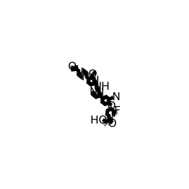 COc1nc(Nc2nccc(-c3ccc(O[C@H]4CCN(C(=O)[C@H](C)O)C[C@H]4F)c(C#N)c3)n2)ccc1N1CCN(C2COC2)CC1